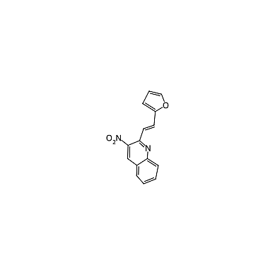 O=[N+]([O-])c1cc2ccccc2nc1C=Cc1ccco1